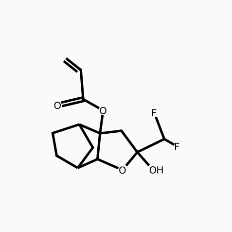 C=CC(=O)OC12CC(O)(C(F)F)OC1C1CCC2C1